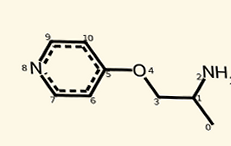 CC(N)COc1ccncc1